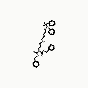 CC(C)(C)[Si](OCCCCNCCCN(C(=O)OCc1ccccc1)C(=O)OCc1ccccc1)(c1ccccc1)c1ccccc1